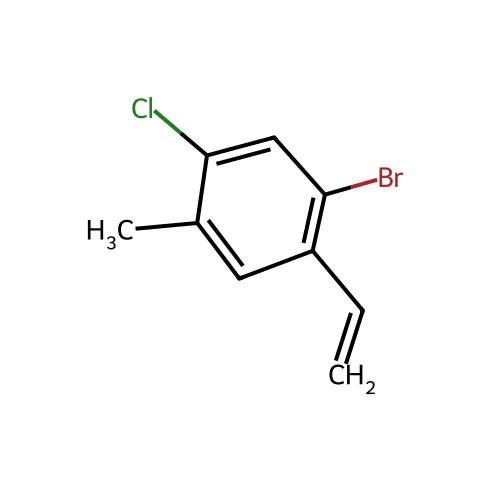 C=Cc1cc(C)c(Cl)cc1Br